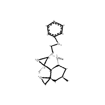 CO[C@@H]1C[C@@H](C)C[C@]2(CO2)[C@H]1[C@@]1(C)O[C@@H]1CCOc1ccccc1